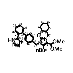 CCCCc1c(C(OC)OC)n(CC2CCCCC2)c(=O)n1Cc1ccc(-c2ccccc2-c2nnn[nH]2)cc1